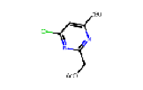 CC(=O)OCc1nc(Cl)cc(C(C)(C)C)n1